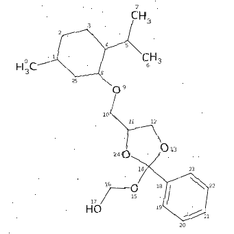 CC1CCC(C(C)C)C(OCC2COC(OCO)(c3ccccc3)O2)C1